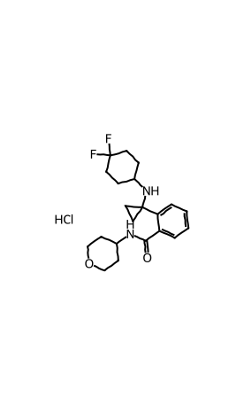 Cl.O=C(NC1CCOCC1)c1ccccc1C1(NC2CCC(F)(F)CC2)CC1